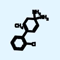 C.NC1(N)C=CC(c2ccccc2Cl)=CC1